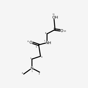 CN(C)CCC(=O)NCC(=O)O